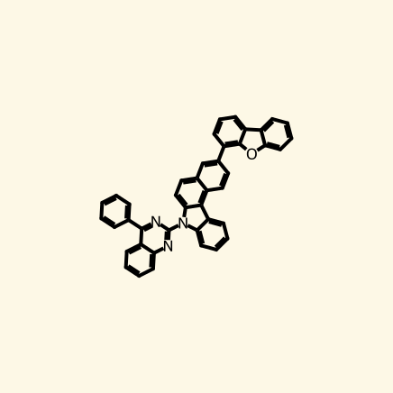 c1ccc(-c2nc(-n3c4ccccc4c4c5ccc(-c6cccc7c6oc6ccccc67)cc5ccc43)nc3ccccc23)cc1